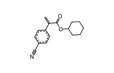 C=C(C(=O)OC1CCCCC1)c1ccc(C#N)cc1